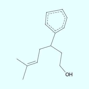 CC(C)=CCC(CCO)c1ccccc1